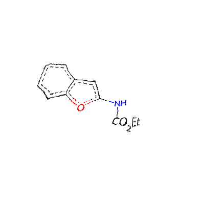 CCOC(=O)Nc1cc2ccccc2o1